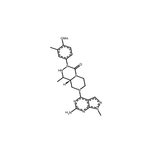 COc1ccc(N2NC(C)[C@H]3CN(c4nc(N)nc5c4cnn5C)CCN3C2=O)cc1C